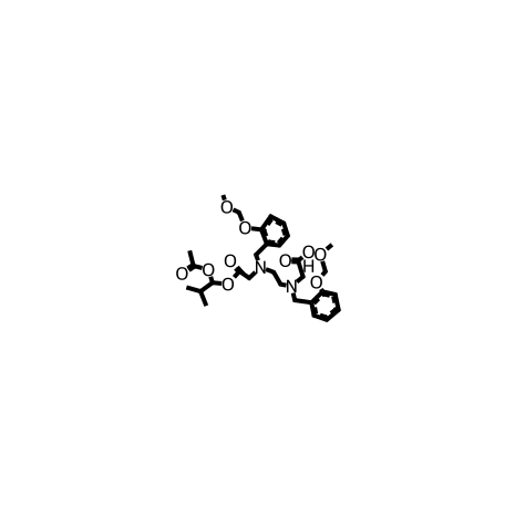 COCOc1ccccc1CN(CCN(CC(=O)OC(OC(C)=O)C(C)C)Cc1ccccc1OCOC)CC(=O)O